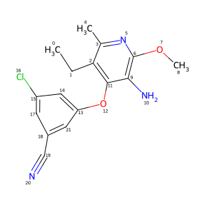 CCc1c(C)nc(OC)c(N)c1Oc1cc(Cl)cc(C#N)c1